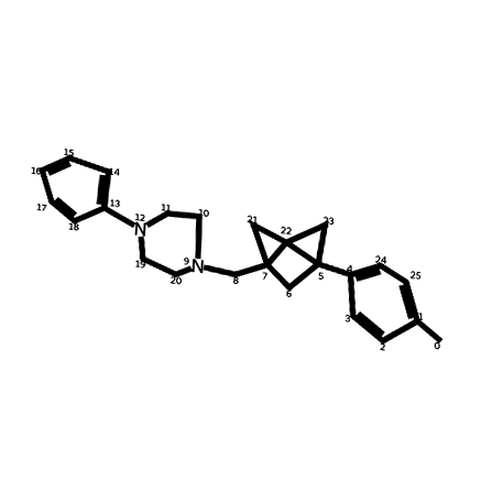 Cc1ccc(C23CC4(CN5CCN(c6ccccc6)CC5)CC42C3)cc1